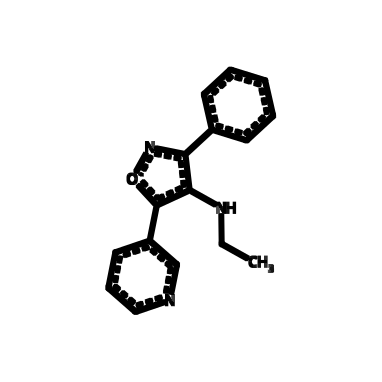 CCNc1c(-c2ccccc2)noc1-c1cccnc1